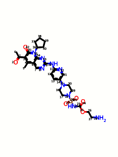 CC(=O)c1c(C)c2cnc(Nc3ccc(N4CCN(S(=O)(=O)NC(=O)OCCN)CC4)cn3)nc2n(C2CCCC2)c1=O